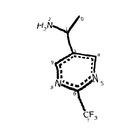 CC(N)c1cnc(C(F)(F)F)nc1